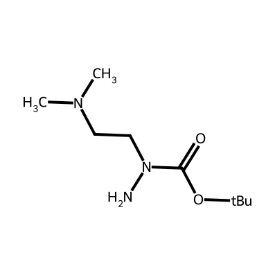 CN(C)CCN(N)C(=O)OC(C)(C)C